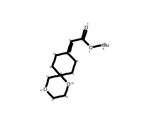 CC(C)(C)OC(=O)C=C1CCC2(CC1)COCCO2